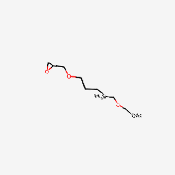 CC(=O)OCOC[SiH2]CCCOCC1CO1